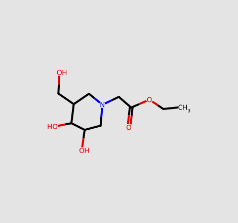 CCOC(=O)CN1CC(O)C(O)C(CO)C1